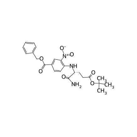 CC(C)(C)OC(=O)CC[C@@H](Nc1ccc(C(=O)OCc2ccccc2)cc1[N+](=O)[O-])C(N)=O